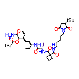 C=C/C(=C\C=C(/C=C)C(OC(=O)C(C)(C)C)C(N)=O)NC(=O)[C@H](I)NC(=O)C1(C(=O)NCCCCCN2C(=O)CC(C(C)(C)C)C2=O)CCC1